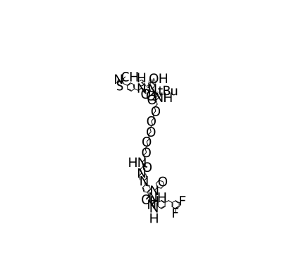 Cc1ncsc1-c1ccc(CNC(=O)[C@@H]2C[C@@H](O)CN2C(=O)[C@@H](NC(=O)CCOCCOCCOCCOCCOCCNC(=O)CN2CCN(c3ccc(C(=O)Nc4n[nH]c5ccc(Cc6cc(F)cc(F)c6)cc45)c(NC4CCOCC4)c3)CC2)C(C)(C)C)cc1